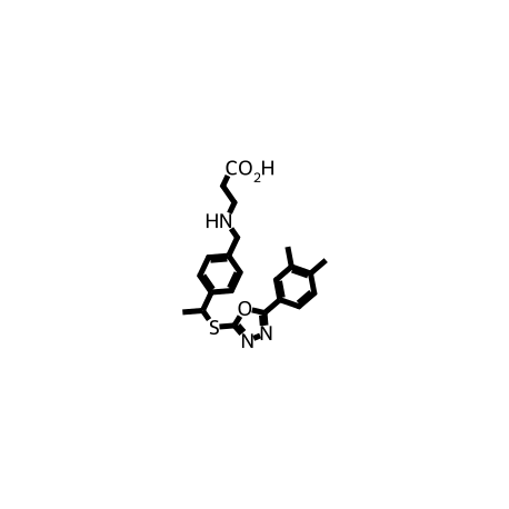 Cc1ccc(-c2nnc(SC(C)c3ccc(CNCCC(=O)O)cc3)o2)cc1C